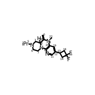 C=C1[C@H]2CN(C(C)C)CCN2c2ncc(C3CC(F)(F)C3)cc2N1C